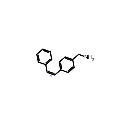 NCc1ccc(/C=C\c2ccccc2)cc1